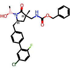 CB(O)N1C(=O)[C@](C)(CNC(=O)OCc2ccccc2)C[C@H]1Cc1ccc(-c2cc(Cl)ccc2F)cc1